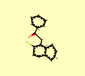 O=C(Cc1c(F)ccc2ccccc12)c1ccccc1